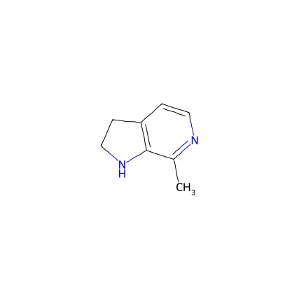 Cc1nccc2c1NCC2